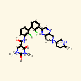 C=C1CC[C@@H](NCc2ncc(-c3cccc(-c4cccc(NC(=O)c5cn(C)c(=O)n(C)c5=O)c4Cl)c3Cl)nc2OC)CN1